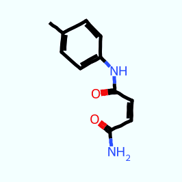 Cc1ccc(NC(=O)/C=C\C(N)=O)cc1